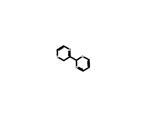 [C]1SC=CN=C1C1N=CC=CS1